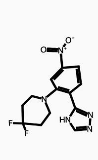 O=[N+]([O-])c1ccc(-c2nnc[nH]2)c(N2CCC(F)(F)CC2)c1